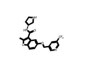 Cc1oc2ccc(OCc3cncc(C(F)(F)F)c3)cc2c1C(=O)N[C@H]1CCNC1